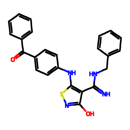 N=C(NCc1ccccc1)c1c(O)nsc1Nc1ccc(C(=O)c2ccccc2)cc1